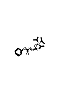 CC(C)[Si](OC(=O)N=NC(=O)Oc1ccccc1)(C(C)C)C(C)C